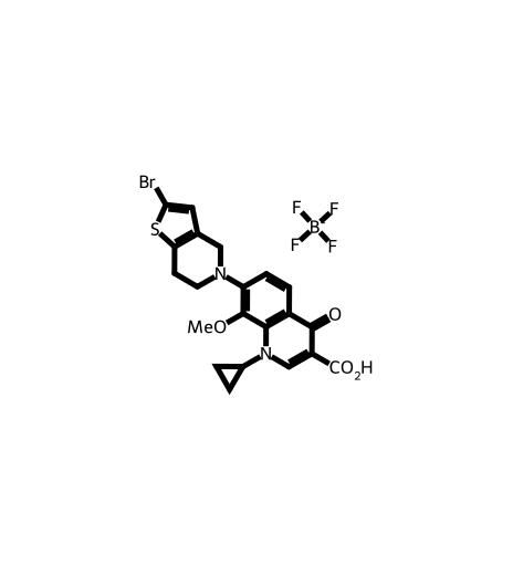 COc1c(N2CCc3sc(Br)cc3C2)ccc2c(=O)c(C(=O)O)cn(C3CC3)c12.F[B-](F)(F)F